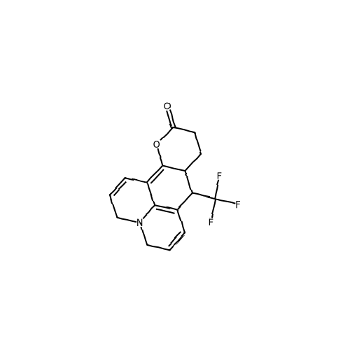 O=C1CCC2C(=C3C=CCN4CC=CC(=C34)C2C(F)(F)F)O1